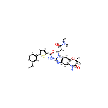 CCc1cccc(-c2ccc(C(=O)Nc3nc4cc5c(cc4n3CCC(=O)N(C)C)OC(C)(C)C(=O)N5)s2)c1